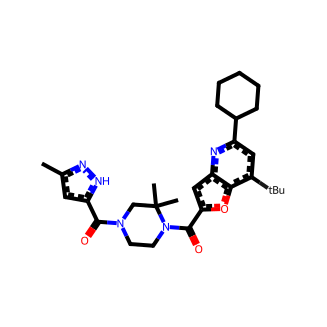 Cc1cc(C(=O)N2CCN(C(=O)c3cc4nc(C5CCCCC5)cc(C(C)(C)C)c4o3)C(C)(C)C2)[nH]n1